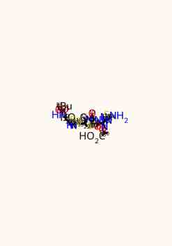 CC(O/N=C(\C(=O)NC1C(=O)N2C(C(=O)O)=C(CSc3nnc(CCNC(=O)OC(C)(C)C)s3)CS[C@H]12)c1nsc(N)n1)C(=O)O